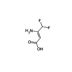 NC(=CC(=O)O)C(F)F